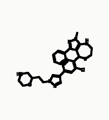 Cn1nc(-c2ccccn2)c2c1NCCSC2c1ccc(-c2cnn(CCC3CNCCO3)c2)cc1Cl